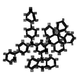 c1ccc(C2(c3ccccc3)c3ccccc3N(c3cc(N(c4ccc(-c5ccncc5)cc4)c4ccc(-c5ccccn5)cc4)cc(N4c5ccccc5Sc5ccccc54)n3)c3ccccc32)cc1